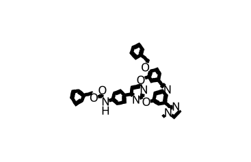 CN1CCN=C1c1cccc(Oc2nc(Oc3cc(C#N)ccc3OCc3ccccc3)cc(-c3ccc(NC(=O)OCc4ccccc4)cc3)n2)c1